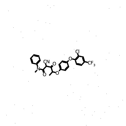 CC(Oc1ccc(Oc2ccc(C(F)(F)F)cc2Cl)cc1)C(=O)C(C#N)C(=O)N(C)c1ccccc1